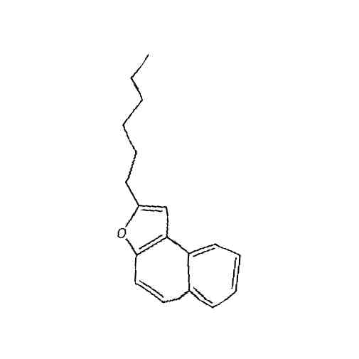 CCCCCCc1cc2c(ccc3ccccc32)o1